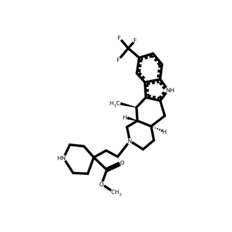 COC(=O)C1(CCN2CC[C@@H]3Cc4[nH]c5ccc(C(F)(F)F)cc5c4[C@H](C)[C@H]3C2)CCNCC1